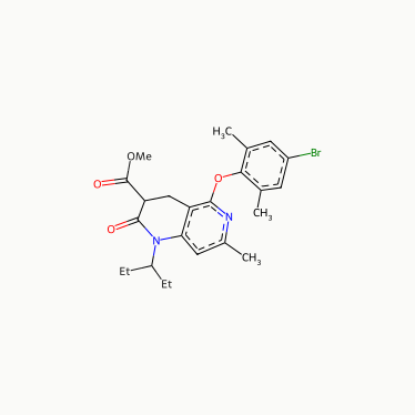 CCC(CC)N1C(=O)C(C(=O)OC)Cc2c1cc(C)nc2Oc1c(C)cc(Br)cc1C